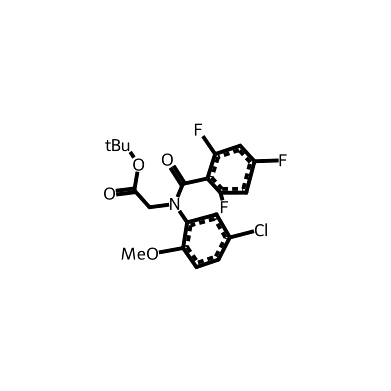 COc1ccc(Cl)cc1N(CC(=O)OC(C)(C)C)C(=O)c1c(F)cc(F)cc1F